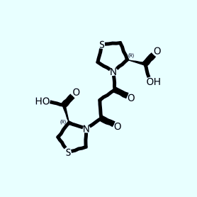 O=C(O)[C@@H]1CSCN1C(=O)CC(=O)N1CSC[C@H]1C(=O)O